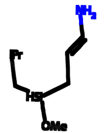 CO[SiH](CC=CN)CC(C)C